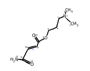 CN(C)CCCOC(=O)/C=C/C(N)=O